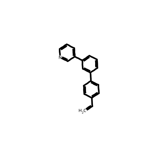 C=Cc1ccc(-c2cccc(-c3cccnc3)c2)cc1